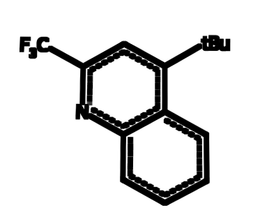 CC(C)(C)c1cc(C(F)(F)F)nc2ccccc12